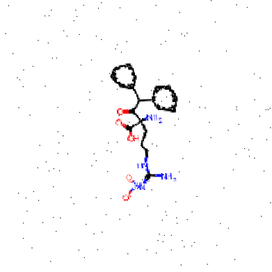 N/C(=N/[N+](=O)[O-])NCCCC(N)(C(=O)O)C(=O)C(c1ccccc1)c1ccccc1